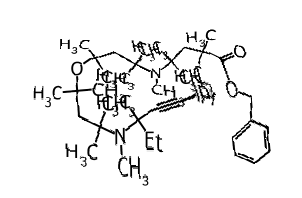 CCC(C)(C#CC(C)C)N(C)C(C)(C)CC(C)(C)OC(C)(C)CC(C)(C)N(C)C(C)(C)CC(C)(C)C(=O)OCc1ccccc1